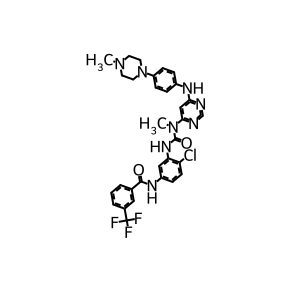 CN1CCN(c2ccc(Nc3cc(N(C)C(=O)Nc4cc(NC(=O)c5cccc(C(F)(F)F)c5)ccc4Cl)ncn3)cc2)CC1